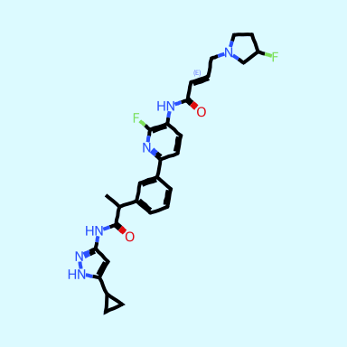 CC(C(=O)Nc1cc(C2CC2)[nH]n1)c1cccc(-c2ccc(NC(=O)/C=C/CN3CCC(F)C3)c(F)n2)c1